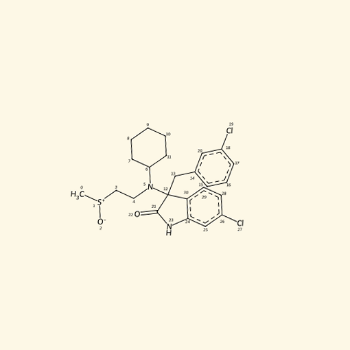 C[S+]([O-])CCN(C1CCCCC1)C1(Cc2cccc(Cl)c2)C(=O)Nc2cc(Cl)ccc21